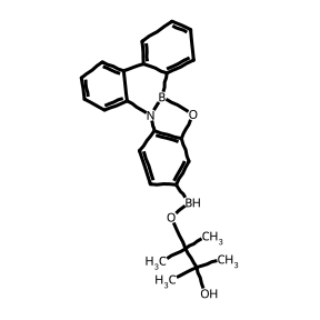 CC(C)(O)C(C)(C)OBc1ccc2c(c1)OB1c3ccccc3-c3ccccc3N12